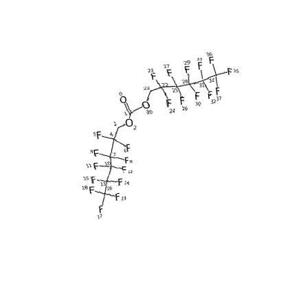 O=C(OCC(F)(F)C(F)(F)C(F)(F)C(F)(F)C(F)(F)F)OCC(F)(F)C(F)(F)C(F)(F)C(F)(F)C(F)(F)F